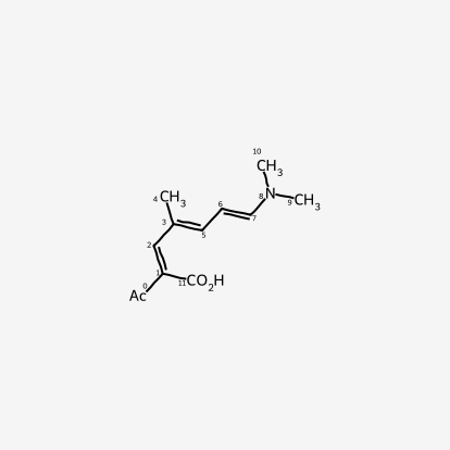 CC(=O)C(=CC(C)=CC=CN(C)C)C(=O)O